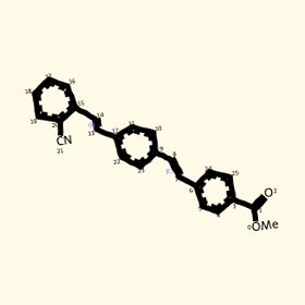 COC(=O)c1ccc(/C=C/c2ccc(/C=C/c3ccccc3C#N)cc2)cc1